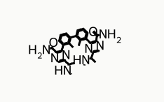 CNC(C)c1cnc(C(N)=O)c(-c2cccc(-c3cccc(-c4nc(C(C)NC)cnc4C(N)=O)c3C)c2C)n1